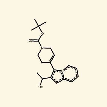 CC(O)c1cc2ccccn2c1C1=CCN(C(=O)OC(C)(C)C)CC1